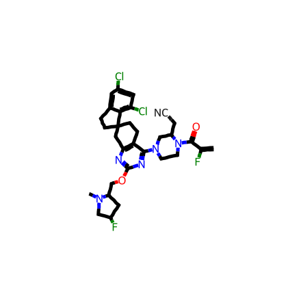 C=C(F)C(=O)N1CCN(c2nc(OCC3CC(F)CN3C)nc3c2CCC2(CCc4cc(Cl)cc(Cl)c42)C3)CC1CC#N